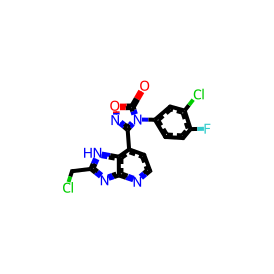 O=c1onc(-c2ccnc3nc(CCl)[nH]c23)n1-c1ccc(F)c(Cl)c1